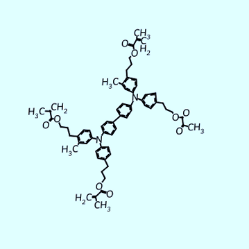 C=C(C)C(=O)OCCCc1ccc(N(c2ccc(-c3ccc(N(c4ccc(CCCOC(=O)C(C)=O)cc4)c4ccc(CCCOC(=O)C(=C)C)c(C)c4)cc3)cc2)c2ccc(CCCOC(=O)C(=C)C)c(C)c2)cc1